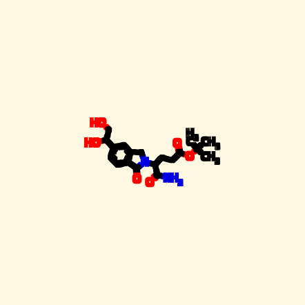 CC(C)(C)OC(=O)CCC(C(N)=O)N1Cc2cc(C(O)CO)ccc2C1=O